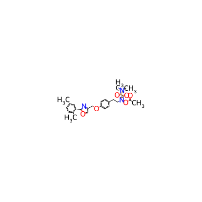 CC(=O)ON(CCc1ccc(OCc2coc(-c3cc(C)ccc3C)n2)cc1)S(=O)(=O)N(C)C